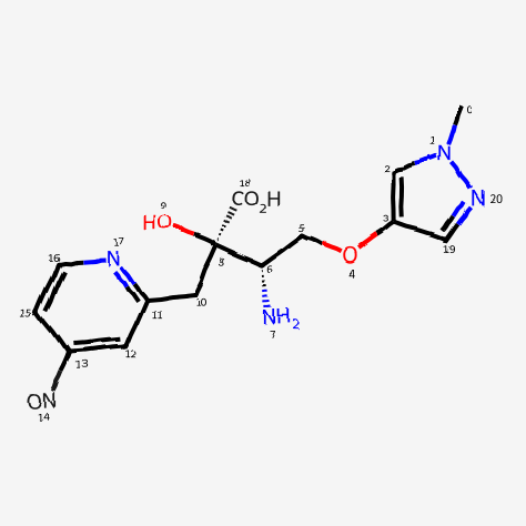 Cn1cc(OC[C@H](N)[C@](O)(Cc2cc(N=O)ccn2)C(=O)O)cn1